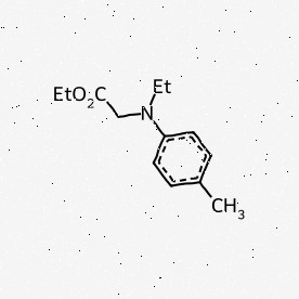 CCOC(=O)CN(CC)c1ccc(C)cc1